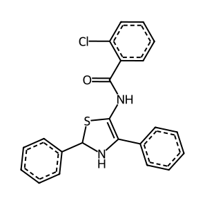 O=C(NC1=C(c2ccccc2)NC(c2ccccc2)S1)c1ccccc1Cl